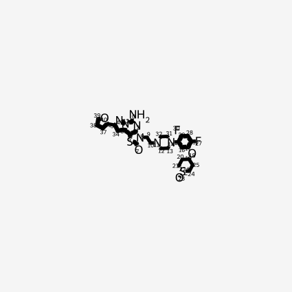 Nc1nc2c(sc(=O)n2CCN2CCN(c3cc(OC4CC[S+]([O-])CC4)c(F)cc3F)CC2)c2cc(-c3ccco3)nn12